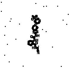 CS(=O)(=O)c1cncc(N2CCc3nc(NC(=O)Nc4ccccc4C(=O)NCC#N)sc3C2)c1